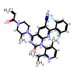 C=CC(=O)N1CCN(c2nc(=O)n(-c3c(C)ccnc3C(C)C)c3nc(-c4c(F)cccc4F)c(C#N)cc23)C(C)C1